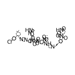 CC1(C)CCC(CN2CCN(c3ccc(C(=O)NS(=O)(=O)c4ccc(NCC5CCN(CC#Cc6ccc7c(c6)C(=O)N(C6CCC(=O)NC6=O)C7=O)CC5)c([N+](=O)[O-])c4)c(Oc4cnc5[nH]ccc5c4)c3)CC2)=C(c2ccc(Cl)cc2)C1